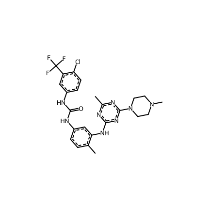 Cc1nc(Nc2cc(NC(=O)Nc3ccc(Cl)c(C(F)(F)F)c3)ccc2C)nc(N2CCN(C)CC2)n1